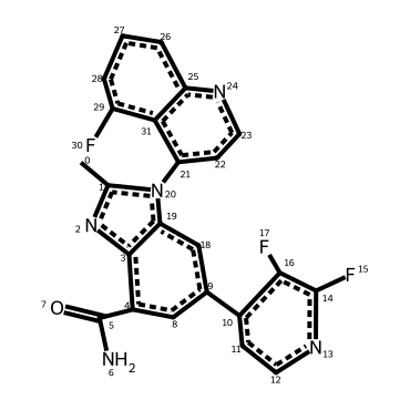 Cc1nc2c(C(N)=O)cc(-c3ccnc(F)c3F)cc2n1-c1ccnc2cccc(F)c12